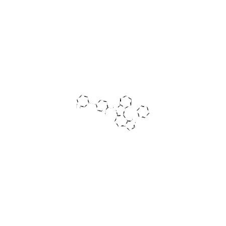 c1ccc(-n2ccc3ccc4c(c5ccccc5n4-c4ccc(-c5cccnc5)cn4)c32)cc1